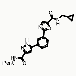 CCCC(C)NC(=O)c1cc(-c2cccc(-c3ncc(C(=O)NCC4CC4)o3)c2)[nH]n1